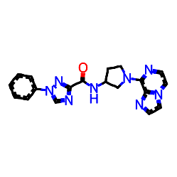 O=C(NC1CCN(c2nccn3ccnc23)C1)c1ncn(-c2ccccc2)n1